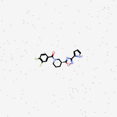 O=C(c1ccc(F)c(F)c1)N1CCC[C@H](c2nc(-c3ccc[nH]3)no2)C1